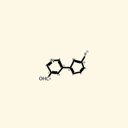 O=Cc1cncc(-c2cccc(F)c2)c1